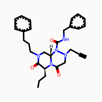 C#CCN1CC(=O)N2[C@@H](CCC)C(=O)N(CCCc3ccccc3)C[C@@H]2N1C(=O)NCc1ccccc1